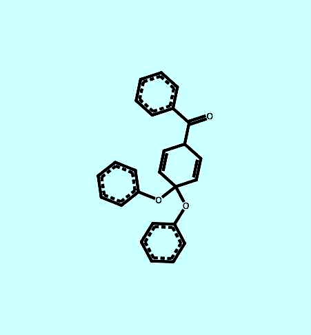 O=C(c1ccccc1)C1C=CC(Oc2ccccc2)(Oc2ccccc2)C=C1